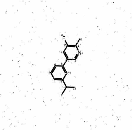 Cc1ncc(-c2cccc(C(C)C)c2)cc1F